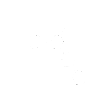 Nc1cc(-c2ccc(-c3ccccc3)cc2)nc(N2CCNCC2)c1